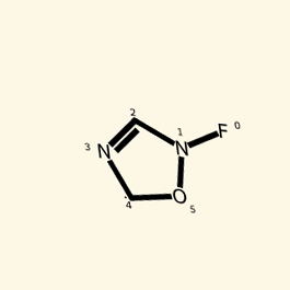 FN1C=N[CH]O1